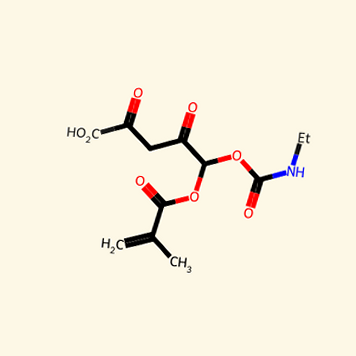 C=C(C)C(=O)OC(OC(=O)NCC)C(=O)CC(=O)C(=O)O